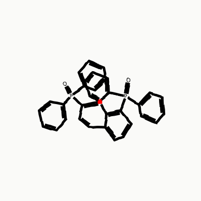 O=P(c1ccccc1)(c1ccccc1)c1ccc2cccc(P(=O)(c3ccccc3)c3ccccc3)c2n1